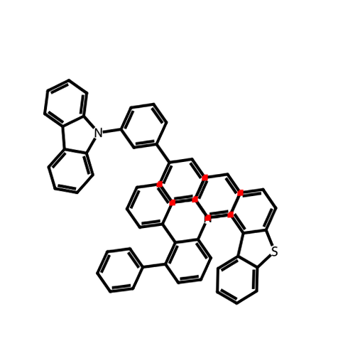 c1ccc(-c2ccccc2-c2c(-c3ccccc3)cccc2N(c2ccc(-c3cccc(-n4c5ccccc5c5ccccc54)c3)cc2)c2cccc3sc4ccccc4c23)cc1